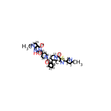 Cc1ccc(-c2nc(C)c(C(=O)N3CC[C@@H](C(=O)N4CCC(O)(Cn5cnc6c(ccn6C)c5=O)CC4)[C@H](c4ccccc4)C3)s2)cn1